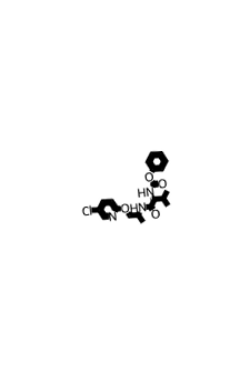 CC(COc1ccc(Cl)cn1)NC(=O)[C@@H](NC(=O)Oc1ccccc1)C(C)C